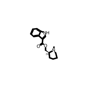 CN1CCCC[C@H]1COC(=O)c1c[nH]c2ccccc12